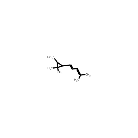 CC(C)=CC=CC1C(C(=O)O)C1(C)C